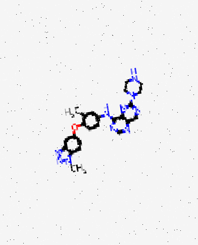 Cc1cc(Nc2ncnc3cnc(N4CCNCC4)nc23)ccc1Oc1ccc2c(c1)nnn2C